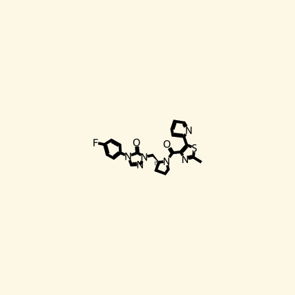 Cc1nc(C(=O)N2CCC[C@H]2Cn2ncn(-c3ccc(F)cc3)c2=O)c(-c2ccccn2)s1